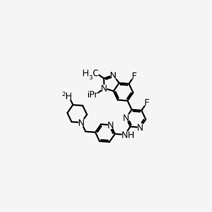 [2H]C1CCN(Cc2ccc(Nc3ncc(F)c(-c4cc(F)c5nc(C)n(C(C)C)c5c4)n3)nc2)CC1